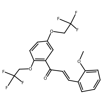 COc1ccccc1C=CC(=O)c1cc(OCC(F)(F)F)ccc1OCC(F)(F)F